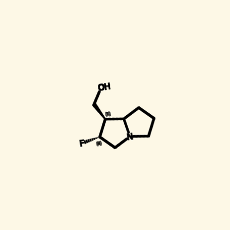 OC[C@H]1C2CCCN2C[C@@H]1F